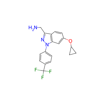 NCc1nn(-c2ccc(C(F)(F)F)cc2)c2cc(OC3CC3)ccc12